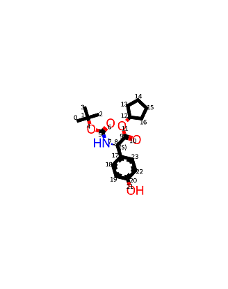 CC(C)(C)OC(=O)N[C@H](C(=O)OC1CCCC1)c1ccc(O)cc1